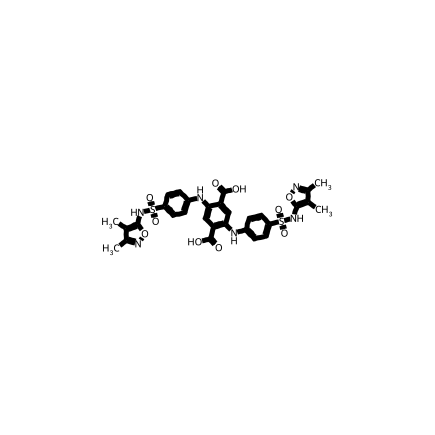 Cc1noc(NS(=O)(=O)c2ccc(Nc3cc(C(=O)O)c(Nc4ccc(S(=O)(=O)Nc5onc(C)c5C)cc4)cc3C(=O)O)cc2)c1C